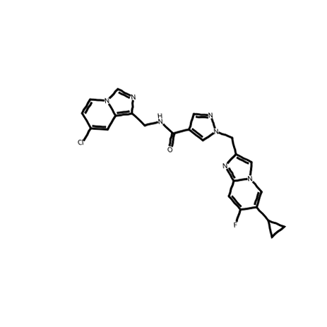 O=C(NCc1ncn2ccc(Cl)cc12)c1cnn(Cc2cn3cc(C4CC4)c(F)cc3n2)c1